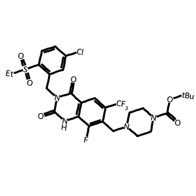 CCS(=O)(=O)c1ccc(Cl)cc1Cn1c(=O)[nH]c2c(F)c(CN3CCN(C(=O)OC(C)(C)C)CC3)c(C(F)(F)F)cc2c1=O